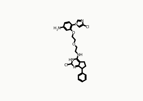 Nc1ccc(-n2cnc(Cl)c2)c(OCCOCCNC2=C3CCC(c4ccccc4)C3=NC(Cl)N2)c1